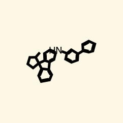 CC1CCCC12c1ccccc1-c1cc(Nc3cccc(-c4ccccc4)c3)ccc12